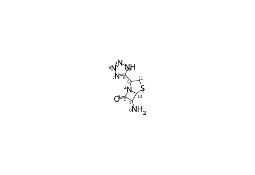 NC1C(=O)N2C(c3nnn[nH]3)CSC12